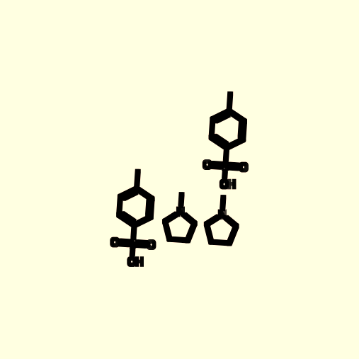 CN1CCCC1.CN1CCCC1.Cc1ccc(S(=O)(=O)O)cc1.Cc1ccc(S(=O)(=O)O)cc1